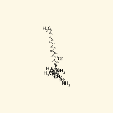 CCCCCCCCCCCCCCCCCC[N+](C)(C)[Si](OC)(OC)OCCCCN.[Cl-]